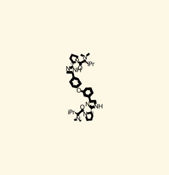 CC(C)[C@@H](C(=O)N1CCC[C@H]1c1nc(-c2cccc(Oc3ccc(-c4cnc([C@@H]5CCCN5C(=O)[C@H](C(C)C)N(C)C)[nH]4)cc3)c2)c[nH]1)N(C)C